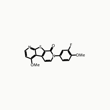 COc1ccc(-n2ccc3c(sc4nccc(OC)c43)c2=O)cc1F